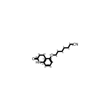 N#CCCCCCCOc1cccc2c1CCC(=O)N2